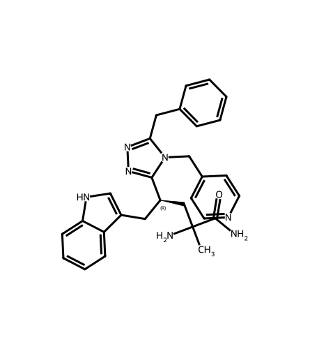 CC(N)(C[C@@H](Cc1c[nH]c2ccccc12)c1nnc(Cc2ccccc2)n1Cc1ccncc1)C(N)=O